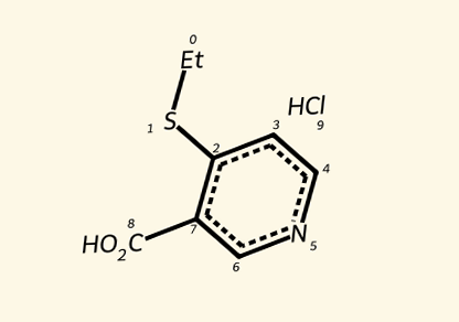 CCSc1ccncc1C(=O)O.Cl